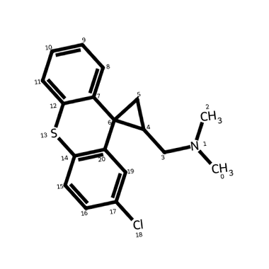 CN(C)CC1CC12c1ccccc1Sc1ccc(Cl)cc12